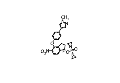 Cn1cc(-c2ccc(Oc3c([N+](=O)[O-])ccc4c3CC[C@@H]4OP(=O)(N3CC3)N3CC3)cc2)cn1